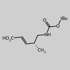 C[C@H](C=CC(=O)O)CNC(=O)OC(C)(C)C